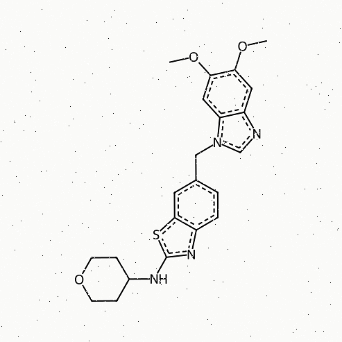 COc1cc2ncn(Cc3ccc4nc(NC5CCOCC5)sc4c3)c2cc1OC